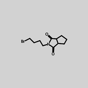 O=C1C2CCCC2C(=O)N1CCCCBr